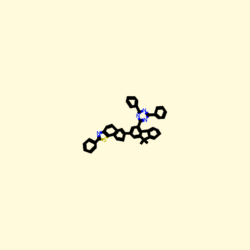 CC1(C)c2ccccc2-c2c(-c3nc(-c4ccccc4)nc(-c4ccccc4)n3)cc(-c3ccc4c(ccc5nc(-c6ccccc6)sc54)c3)cc21